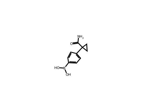 NC(=O)C1(c2ccc(B(O)O)cc2)CC1